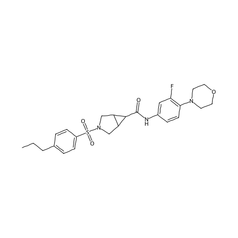 CCCc1ccc(S(=O)(=O)N2CC3C(C2)C3C(=O)Nc2ccc(N3CCOCC3)c(F)c2)cc1